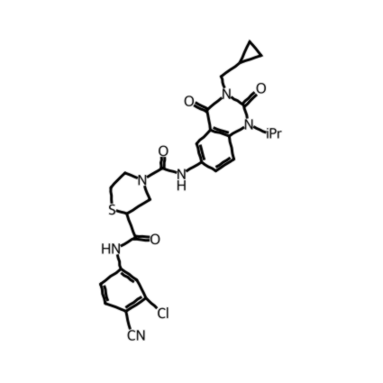 CC(C)n1c(=O)n(CC2CC2)c(=O)c2cc(NC(=O)N3CCSC(C(=O)Nc4ccc(C#N)c(Cl)c4)C3)ccc21